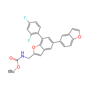 CC(C)(C)OC(=O)NCc1cc2cc(-c3ccc4occc4c3)cc(-c3ccc(F)cc3F)c2o1